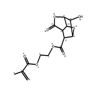 C=C(C)C(=O)OCCOC(=O)C1C2SC3C(OC(=O)C31)C2O